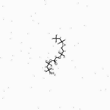 CC(C)(C)CC(C)(C)OCCC(C)(C)OCC(=O)OC(C)(C)CC(C)(C)N